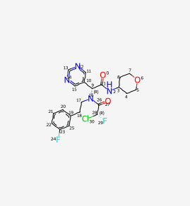 O=C(NC1CCOCC1)[C@@H](c1cncnc1)N(CCc1cccc(F)c1)C(=O)[C@H](F)Cl